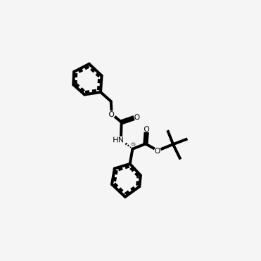 CC(C)(C)OC(=O)[C@@H](NC(=O)OCc1ccccc1)c1ccccc1